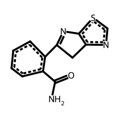 NC(=O)c1ccccc1C1=Nc2scnc2C1